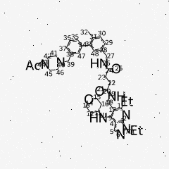 CCc1nc2c(cnn2CC)c(NC2CCOCC2)c1CNC(=O)CCC(=O)NCc1ccc(C)c(-c2cccc(CN3CCN(C(C)=O)CC3)c2)c1